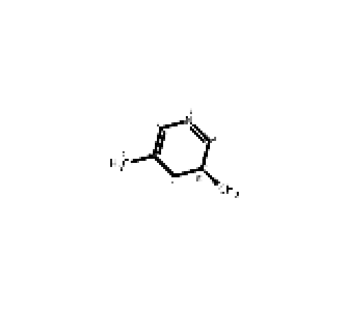 CC1=CN=C[C@@H](C)C1